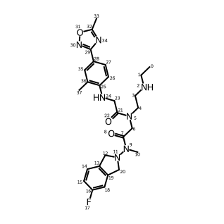 CCNCCN(CC(=O)N(C)N1Cc2ccc(F)cc2C1)C(=O)CNc1ccc(-c2noc(C)n2)cc1C